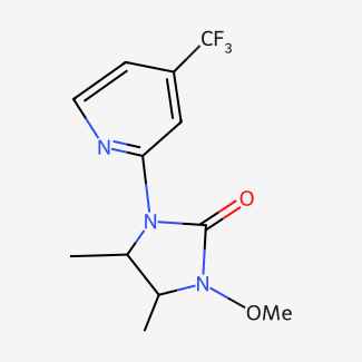 CON1C(=O)N(c2cc(C(F)(F)F)ccn2)C(C)C1C